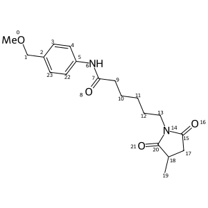 COCc1ccc(NC(=O)CCCCCN2C(=O)CC(C)C2=O)cc1